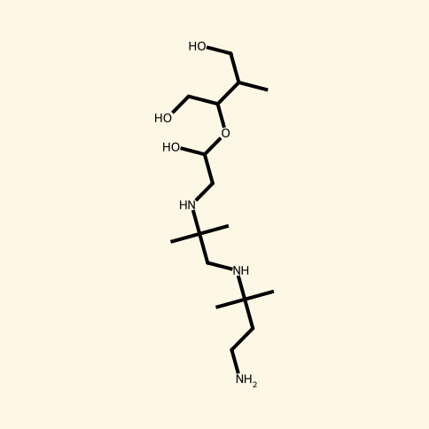 CC(CO)C(CO)OC(O)CNC(C)(C)CNC(C)(C)CCN